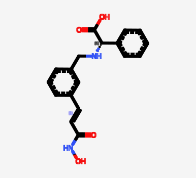 O=C(/C=C/c1cccc(CN[C@H](C(=O)O)c2ccccc2)c1)NO